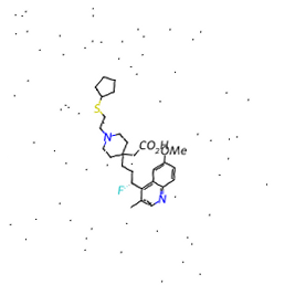 COc1ccc2ncc(C)c([C@H](F)CCC3(CC(=O)O)CCN(CCSC4CCCC4)CC3)c2c1